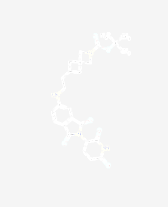 CC(C)(C)OC(=O)N1CC2(CC(CCNc3ccc4c(c3)C(=O)N(C3CCC(=O)NC3=O)C4=O)C2)C1